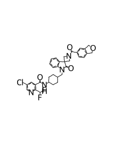 O=C(NC1CCC(CN2C(=O)C3(CN(C(=O)c4ccc5c(c4)COC5)C3)c3ccccc32)CC1)c1cc(Cl)cnc1C(F)F